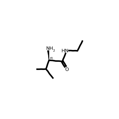 CCNC(=O)[C@H](N)C(C)C